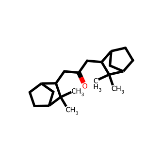 CC1(C)C2CCC(C2)C1CC(=O)CC1C2CCC(C2)C1(C)C